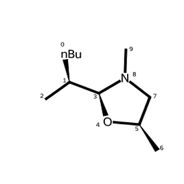 CCCC[C@H](C)[C@@H]1O[C@H](C)CN1C